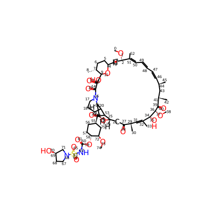 CO[C@H]1C[C@@H]2CC[C@@H](C)[C@@](O)(O2)C(=O)C(=O)N2CCCC3[C@H]2C(=O)O[C@@H](CC(=O)[C@H](C)/C=C(\C)[C@@H](O)[C@@H](OC)C(=O)[C@H](C)C[C@H](C)/C=C/C=C/C=C/1C)[C@H]3C[C@@H]1CC[C@@H](OC(=O)NS(=O)(=O)N2CC[C@@H](O)C2)[C@H](OC)C1